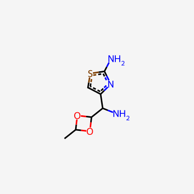 CC1OC(C(N)c2csc(N)n2)O1